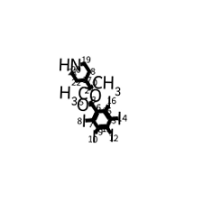 CC(C)(OC(=O)c1c(I)c(I)c(I)c(I)c1I)C1CCNCC1